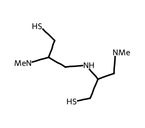 CNCC(CS)NCC(CS)NC